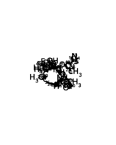 Cc1cc(O[C@@H]2C[C@H]3C(=O)N[C@]4(C(=O)NS(=O)(=O)C5(C)CC5)C[C@H]4C=CCC[C@H](C)C[C@@H](C)[C@H](N(C(=O)O)C(C)(C)C(F)(F)F)C(=O)N3C2)cc(-c2cncs2)n1